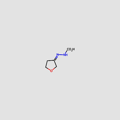 O=C(O)NN=C1CCOC1